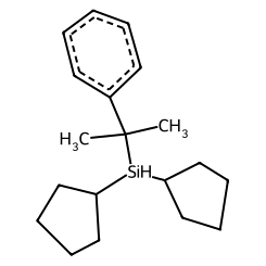 CC(C)(c1ccccc1)[SiH](C1CCCC1)C1CCCC1